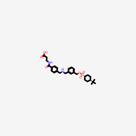 CC(C)(C)[C@H]1CC[C@H](S(=O)(=O)OCc2cccc(CNCc3ccc(C(=O)NCCC(=O)O)cc3)c2)CC1